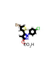 Cc1c(OC(=O)O)nn(-c2ccc(Cl)cc2)c1-c1cc(Br)cs1